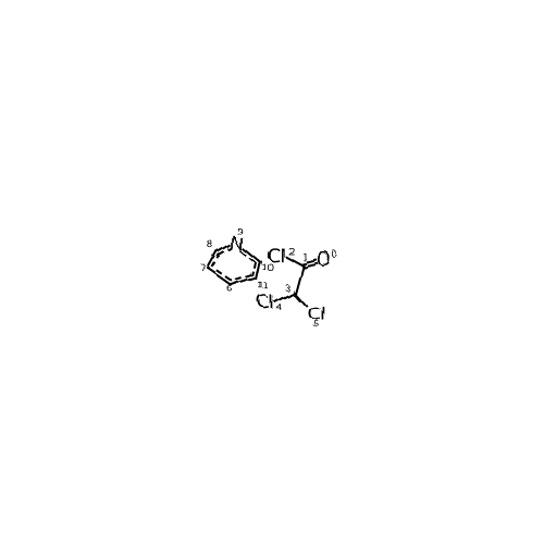 O=C(Cl)C(Cl)Cl.c1ccncc1